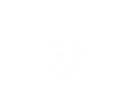 Cn1c(C(=O)O)c(C(=O)O)c(C(=O)O)c1C(=O)O